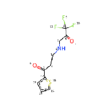 O=C(CCNCC(=O)C(F)(F)F)c1cccs1